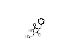 O=C1NC(CS)C(=O)N1Cc1ccccc1